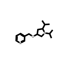 CC(C)C1CC(OCc2cccnc2)CN1C(C)C